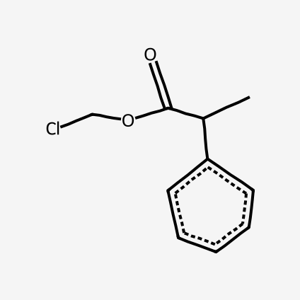 CC(C(=O)OCCl)c1ccccc1